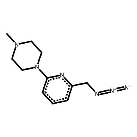 CN1CCN(c2cccc(CN=[N+]=[N-])n2)CC1